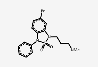 CNCCCN1c2cc(Br)ccc2N(c2ccccc2)S1(=O)=O